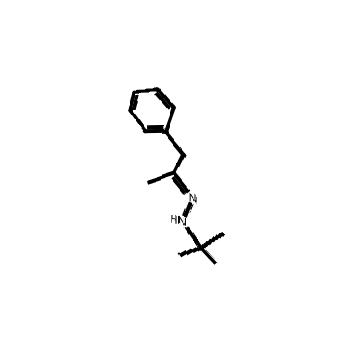 C/C(Cc1ccccc1)=N\NC(C)(C)C